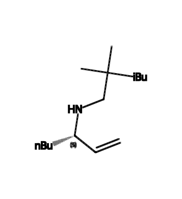 C=C[C@H](CCCC)NCC(C)(C)C(C)CC